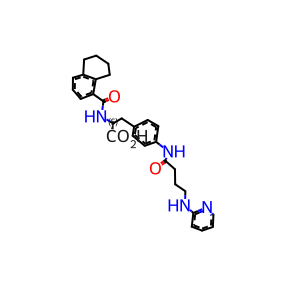 O=C(CCCNc1ccccn1)Nc1ccc(C[C@H](NC(=O)c2cccc3c2CCCC3)C(=O)O)cc1